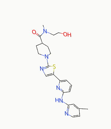 Cc1ccnc(Nc2cccc(-c3cnc(N4CCC(C(=O)N(C)CCO)CC4)s3)n2)c1